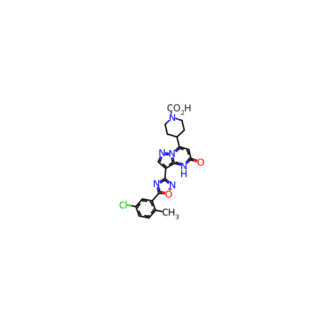 Cc1ccc(Cl)cc1-c1nc(-c2cnn3c(C4CCN(C(=O)O)CC4)cc(=O)[nH]c23)no1